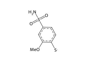 COc1cc(S(N)(=O)=O)ccc1[S]